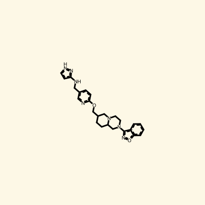 c1ccc2c(N3CCN4CC(COc5ccc(CNc6cc[nH]n6)cn5)CCC4C3)noc2c1